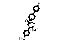 O=C(NO)C(NS(=O)(=O)N1CCC(c2ccc(F)cc2)CC1)c1ccc(O)cc1